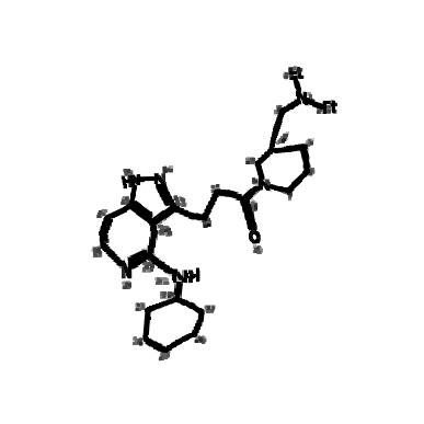 CCN(CC)CC1CCCN(C(=O)CCc2n[nH]c3ccnc(NC4CCCCC4)c23)C1